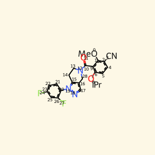 COc1c(C#N)ccc(OC(C)C)c1C(=O)N1CCc2c(cnn2-c2ccc(F)cc2F)C1